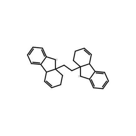 [C]1c2ccccc2C2C=CCCC12CCC12[C]c3ccccc3C1C=CCC2